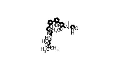 COc1nc(-c2cccc(-c3cccc(-c4ccc5nc(CNCC(O)CC(=O)N(C)C)cn5n4)c3Cl)c2Cl)ccc1CNC[C@@H]1CCC(=O)N1